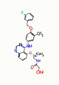 Cc1cc(Nc2ncnc3cccc(O[C@H](C)CNC(=O)CO)c23)ccc1OCc1cccc(F)c1